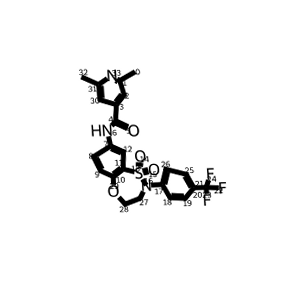 Cc1cc(C(=O)Nc2ccc3c(c2)S(=O)(=O)N(c2ccc(C(F)(F)F)cc2)CCO3)cc(C)n1